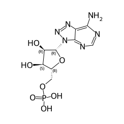 Nc1ncnc2c1nnn2[C@@H]1O[C@H](COP(=O)(O)O)[C@@H](O)[C@H]1O